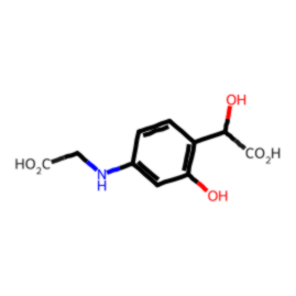 O=C(O)CNc1ccc(C(O)C(=O)O)c(O)c1